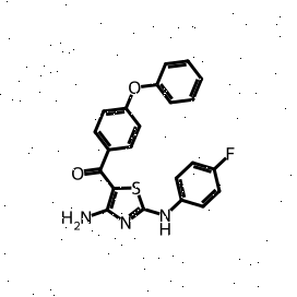 Nc1nc(Nc2ccc(F)cc2)sc1C(=O)c1ccc(Oc2ccccc2)cc1